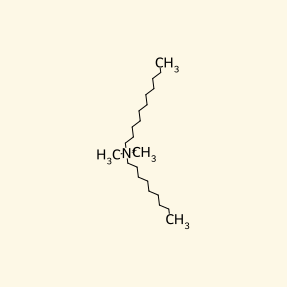 CCCCCCCCCCC[N+](C)(C)CCCCCCCCC